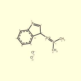 C[Si](C)=[Zr+2][CH]1C=Pc2ccccc21.[Cl-].[Cl-]